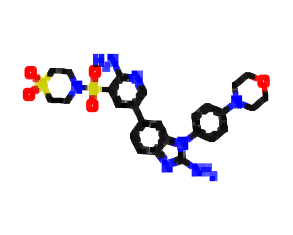 Nc1ncc(-c2ccc3nc(N)n(-c4ccc(N5CCOCC5)cc4)c3c2)cc1S(=O)(=O)N1CCS(=O)(=O)CC1